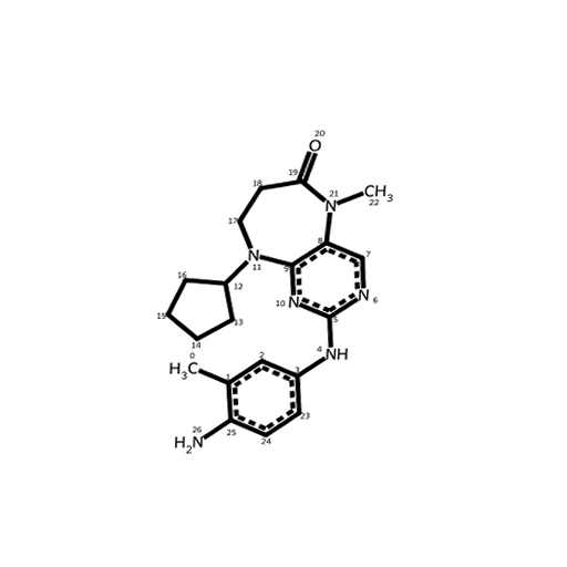 Cc1cc(Nc2ncc3c(n2)N(C2CCCC2)CCC(=O)N3C)ccc1N